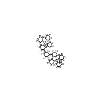 c1ccc(C2(c3ccccc3)c3ccccc3-c3ccc(-c4cccc(-c5cccc6c5-c5ccccc5C6(c5ccccc5)c5ccccn5)c4)cc32)cc1